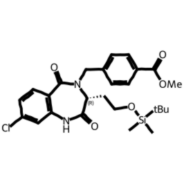 COC(=O)c1ccc(CN2C(=O)c3ccc(Cl)cc3NC(=O)[C@H]2CCO[Si](C)(C)C(C)(C)C)cc1